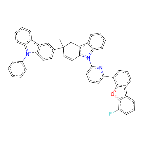 CC1(c2ccc3c(c2)c2ccccc2n3-c2ccccc2)C=Cc2c(c3ccccc3n2-c2cccc(-c3cccc4c3oc3c(F)cccc34)n2)C1